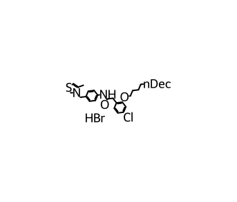 Br.CCCCCCCCCCCCCCOc1cc(Cl)ccc1CC(=O)Nc1ccc(CN2CSC=C2C)cc1